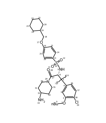 CCCCOc1cc(C(F)(F)[C@@H](NS(=O)(=O)c2ccc(OCC3CCCCC3)cc2)C(=O)N2CCC(N)CC2)ccc1Cl